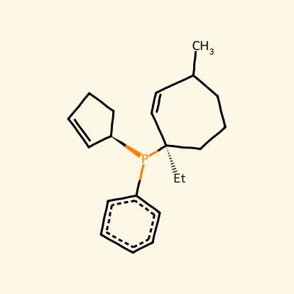 CC[C@]1(P(c2ccccc2)[C@H]2C=CCC2)C=CC(C)CCC1